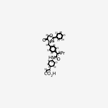 CC(C)C(C(=O)N[C@H]1CC[C@H](CCC(=O)O)CC1)c1ccc(CN2N=C(c3ccccc3)OCC2=O)cc1